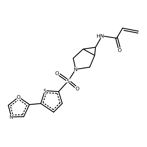 C=CC(=O)NC1C2CN(S(=O)(=O)c3ccc(-c4cnco4)s3)CC21